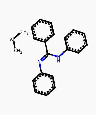 [CH3][Al][CH3].c1ccc(N=C(Nc2ccccc2)c2ccccc2)cc1